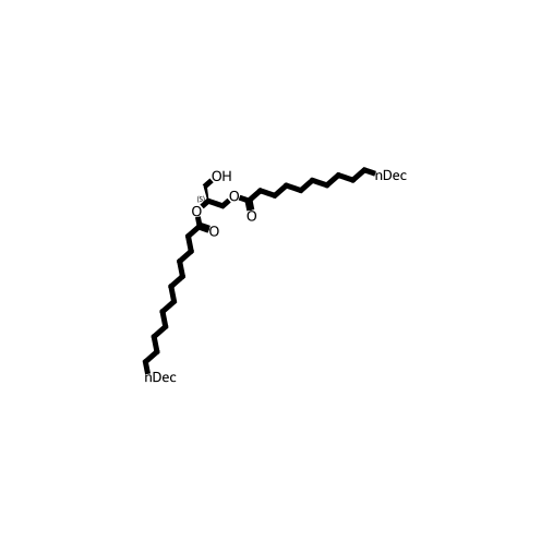 CCCCCCCCCCCCCCCCCCCCCC(=O)O[C@@H](CO)COC(=O)CCCCCCCCCCCCCCCCCCC